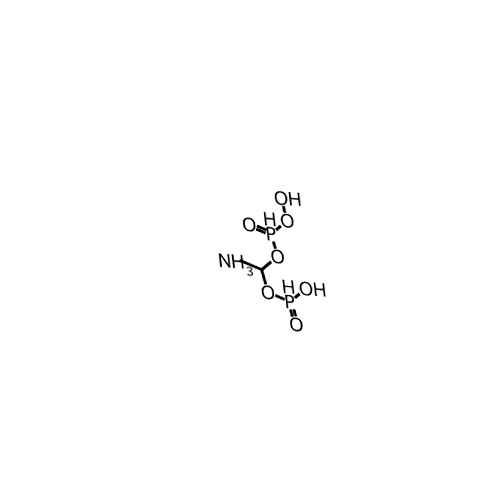 CC(O[PH](=O)O)O[PH](=O)OO.N